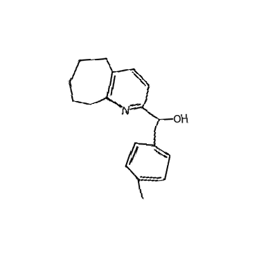 Cc1ccc(C(O)c2ccc3c(n2)CCCCC3)cc1